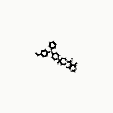 CCc1ccc(N(c2ccccc2)C2CCN(C3(C)CCN(C(=O)c4c(C)ncnc4C)CC3)CC2)cc1